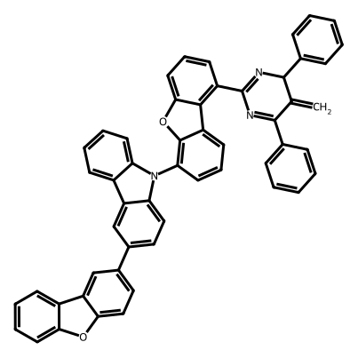 C=C1C(c2ccccc2)=NC(c2cccc3oc4c(-n5c6ccccc6c6cc(-c7ccc8oc9ccccc9c8c7)ccc65)cccc4c23)=NC1c1ccccc1